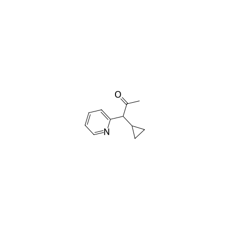 CC(=O)C(c1ccccn1)C1CC1